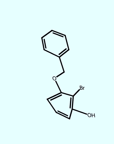 Oc1cccc(OCc2ccccc2)c1Br